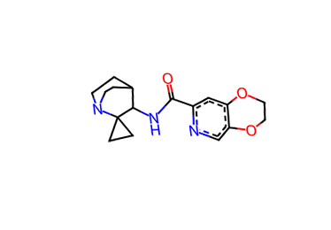 O=C(NC1C2CCN(CC2)C12CC2)c1cc2c(cn1)OCCO2